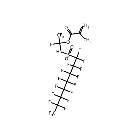 C=C(C)C(=O)OC(F)(NS(=O)(=O)C(F)(F)C(F)(F)C(F)(F)C(F)(F)C(F)(F)C(F)(F)C(F)(F)C(F)(F)F)C(F)(F)F